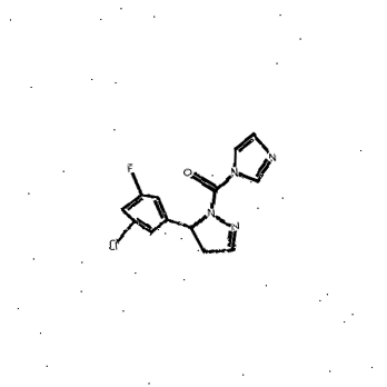 O=C(N1N=CCC1c1cc(F)cc(Cl)c1)n1ccnc1